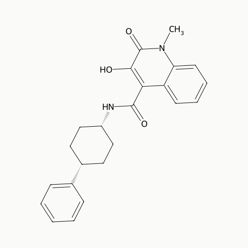 Cn1c(=O)c(O)c(C(=O)N[C@H]2CC[C@@H](c3ccccc3)CC2)c2ccccc21